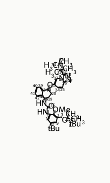 COc1c(CO[Si](C)(C)C(C)(C)C)cc(C(C)(C)C)cc1NC(=O)N[C@H]1CC[C@@H](Oc2ccc3nnc(C(C)(C)N(C)C)n3c2)c2ccccc21